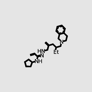 C=C/C(=N\NCC(=C)CC(CC)CN1CCc2ccccc2C1)NC1CCCC1